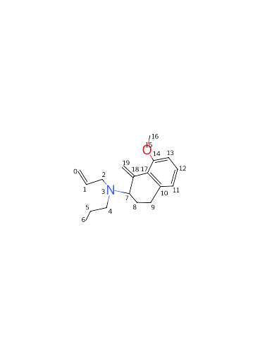 C=CCN(CCC)C1CCc2cccc(OC)c2C1=C